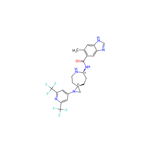 Cc1cc2[nH]cnc2cc1C(=O)N[C@H]1CC[C@@]2(CCN1)CN2c1cc(C(F)(F)F)nc(C(F)(F)F)c1